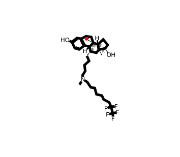 C=C[C@@]12CCc3cc(O)ccc3[C@H]1[C@@H](CCCCCN(C)CCCCCCCC(F)(F)C(F)(F)F)C[C@@]1(C)[C@H]2CC[C@@H]1O